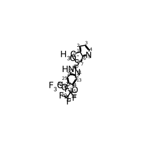 Cc1cccnc1C[S+]([O-])c1nc2cc(OC(F)(F)C(F)F)c(OC(F)(F)F)cc2[nH]1